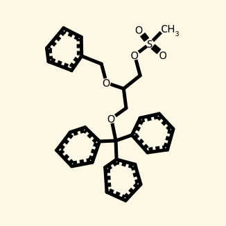 CS(=O)(=O)OCC(COC(c1ccccc1)(c1ccccc1)c1ccccc1)OCc1ccccc1